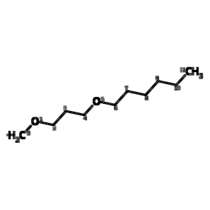 [CH2]OCCCOCCCCCC